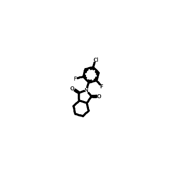 O=C1C2CCCCC2C(=O)N1c1c(F)cc(Cl)cc1F